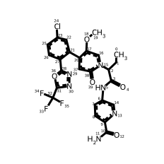 CCC(C(=O)Nc1ccc(C(N)=O)nc1)n1cc(OC)c(-c2cc(Cl)ccc2-c2nnc(C(F)(F)F)o2)cc1=O